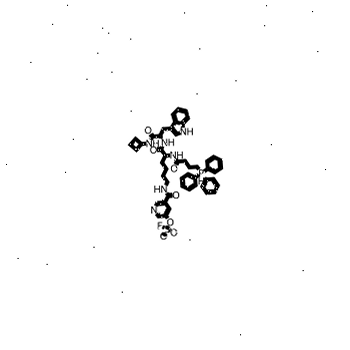 O=C(CCC[PH](c1ccccc1)(c1ccccc1)c1ccccc1)NC(CCCCNC(=O)c1cncc(OS(=O)(=O)F)c1)C(=O)NC(Cc1c[nH]c2ccccc12)C(=O)NC1CCC1